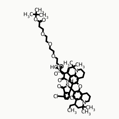 CCC1CC(C)(C)N2CCCc3c4c(cc1c32)C1(c2cc3c5c(c2O4)CCCN5C(C)(C)C=C3CS(=O)(=O)O)c2c(Cl)ccc(Cl)c2C(=O)N1NC(=O)CCOCCOCCOCCOCCC(=O)OC(C)(C)C